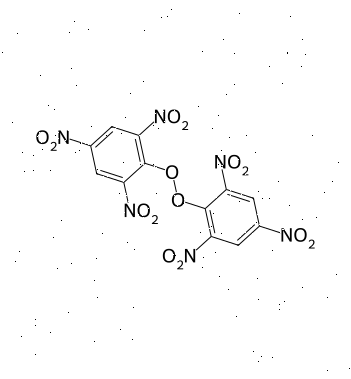 O=[N+]([O-])c1cc([N+](=O)[O-])c(OOc2c([N+](=O)[O-])cc([N+](=O)[O-])cc2[N+](=O)[O-])c([N+](=O)[O-])c1